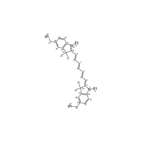 CCN1/C(=C/C=C/C=C/C=C/C2=[N+](CC)c3ccc(CC(C)C)cc3C2(C)C)C(C)(C)c2cc(CC(C)C)ccc21